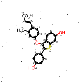 Cc1cc(Oc2c(-c3ccc(O)cc3)sc3cc(O)ccc23)ccc1C=CC(=O)O